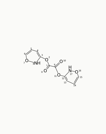 O=C(OC1=CC=CON1)C(=O)OC1=CC=CON1